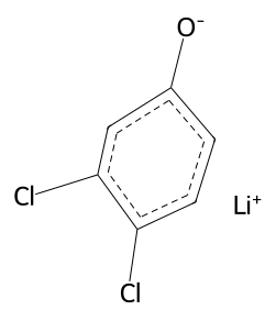 [Li+].[O-]c1ccc(Cl)c(Cl)c1